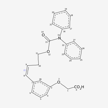 O=C(O)COc1cccc(/C=C\CCOC(=O)N(c2ccccc2)c2ccccc2)c1